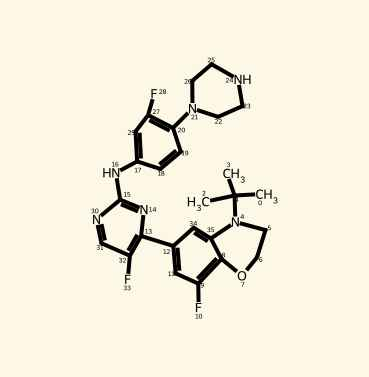 CC(C)(C)N1CCOc2c(F)cc(-c3nc(Nc4ccc(N5CCNCC5)c(F)c4)ncc3F)cc21